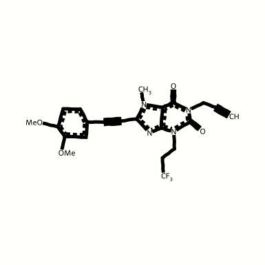 C#CCn1c(=O)c2c(nc(C#Cc3ccc(OC)c(OC)c3)n2C)n(CCC(F)(F)F)c1=O